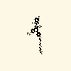 [N-]=[N+]=NCCOCCOCCOc1ccc(CCc2c(-c3ccc(C(F)(F)F)cc3)nn(-c3nc4cc(Cl)ccc4[nH]3)c2O)cc1